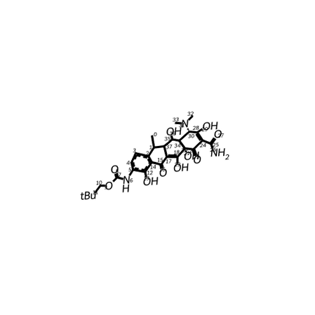 CC1c2ccc(NC(=O)OCC(C)(C)C)c(O)c2C(=O)C2=C(O)[C@]3(O)C(=O)C(C(N)=O)=C(O)[C@@H](N(C)C)C3C(O)C21